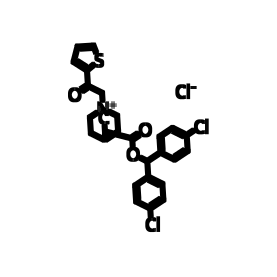 O=C(C[N+]12CCC(CC1)C(C(=O)OC(c1ccc(Cl)cc1)c1ccc(Cl)cc1)C2)c1cccs1.[Cl-]